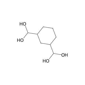 OC(O)C1CCCC(C(O)O)C1